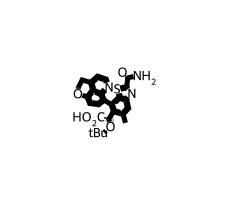 Cc1cc2nc(C(N)=O)sc2c(-c2ccc3c4c(ccnc24)CCO3)c1[C@H](OC(C)(C)C)C(=O)O